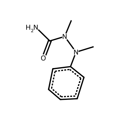 CN(C(N)=O)N(C)c1ccccc1